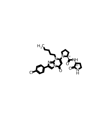 CCCCCn1c(N2CCC[C@H]2C(=O)N[C@@H]2CCNC2=O)cc(=O)n2cc(-c3ccc(Cl)cc3)nc12